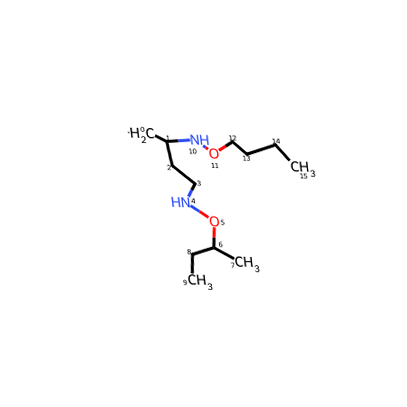 [CH2]C(CCNOC(C)CC)NOCCCC